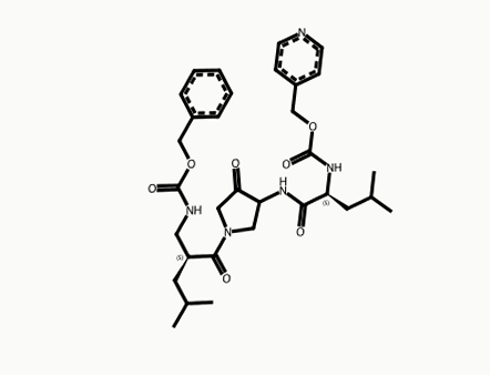 CC(C)C[C@@H](CNC(=O)OCc1ccccc1)C(=O)N1CC(=O)C(NC(=O)[C@H](CC(C)C)NC(=O)OCc2ccncc2)C1